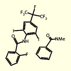 CNC(=O)c1ccccc1.O=C(Nc1c(I)cc(C(F)(C(F)(F)F)C(F)(F)F)cc1I)c1ccccc1F